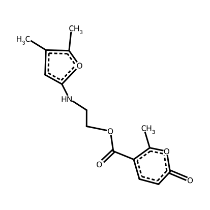 Cc1cc(NCCOC(=O)c2ccc(=O)oc2C)oc1C